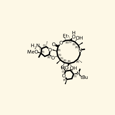 CC[C@H]1OC(=O)[C@H](C)[C@@H](O[C@H]2C[C@@](C)(OC)[C@@H](N)[C@H](C)O2)[C@H](C)[C@@H](O[C@@H]2O[C@H](C)C[C@H](N(C)C(C)(C)C)[C@H]2O)[C@](C)(O)C[C@@H](C)CN(C)[C@H](C)[C@@H](O)[C@]1(C)O